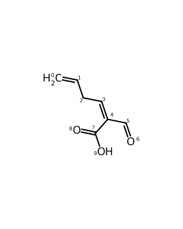 C=CCC=C(C=O)C(=O)O